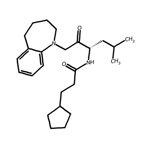 CC(C)C[C@H](NC(=O)CCC1CCCC1)C(=O)CN1CCCCc2ccccc21